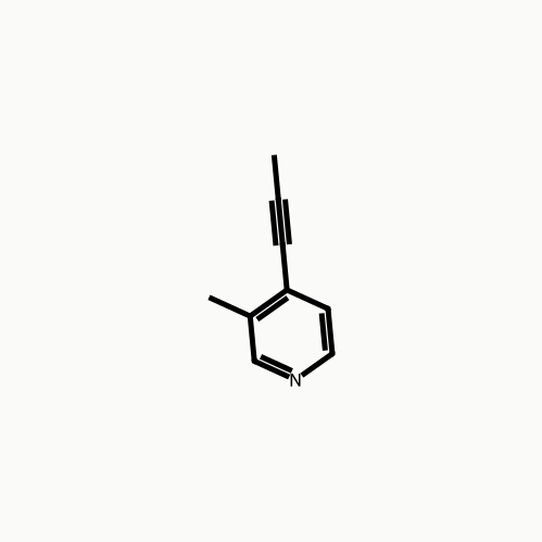 CC#Cc1ccncc1C